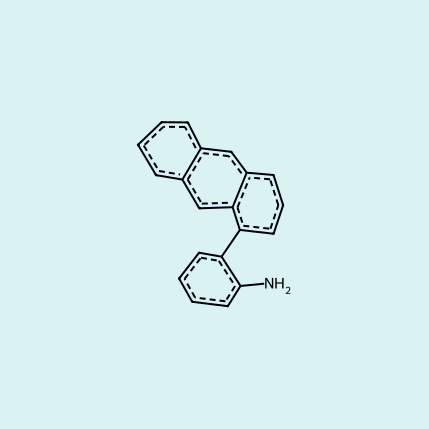 Nc1ccccc1-c1cccc2cc3ccccc3cc12